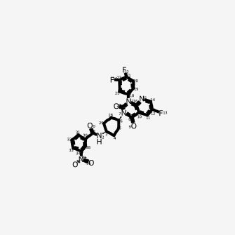 O=C(N[C@H]1CC[C@@H](n2c(=O)c3cc(F)cnc3n(-c3ccc(F)c(F)c3)c2=O)CC1)c1cccc([N+](=O)[O-])c1